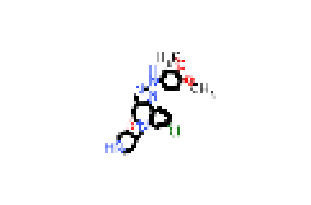 COc1ccc(Nc2ncc3c(n2)-c2ccc(Cl)cc2N(CC2CCNCC2)C(=O)C3)cc1OC